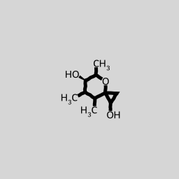 CC1OC2(CC2O)C(C)C(C)[C@H]1O